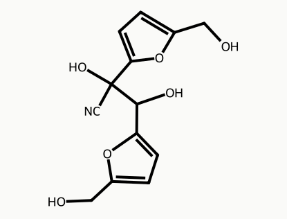 N#CC(O)(c1ccc(CO)o1)C(O)c1ccc(CO)o1